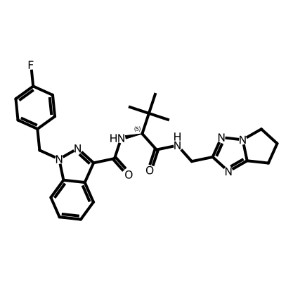 CC(C)(C)[C@H](NC(=O)c1nn(Cc2ccc(F)cc2)c2ccccc12)C(=O)NCc1nc2n(n1)CCC2